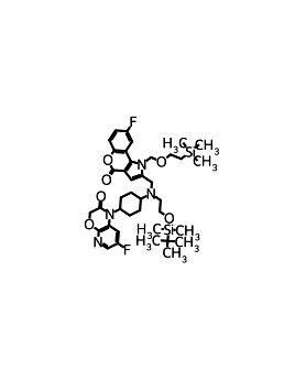 CC(C)(C)[Si](C)(C)OCCN(Cc1cc2c(=O)oc3ccc(F)cc3c2n1COCC[Si](C)(C)C)C1CCC(N2C(=O)COc3ncc(F)cc32)CC1